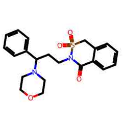 O=C1c2ccccc2CS(=O)(=O)N1CCC(c1ccccc1)N1CCOCC1